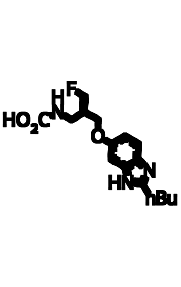 CCCCc1nc2ccc(OCC(=CF)CNC(=O)O)cc2[nH]1